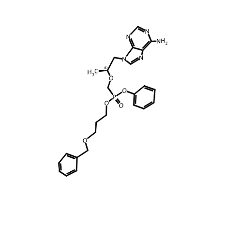 C[C@@H](Cn1cnc2c(N)ncnc21)OCP(=O)(OCCCOCc1ccccc1)Oc1ccccc1